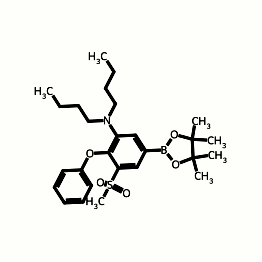 CCCCN(CCCC)c1cc(B2OC(C)(C)C(C)(C)O2)cc(S(C)(=O)=O)c1Oc1ccccc1